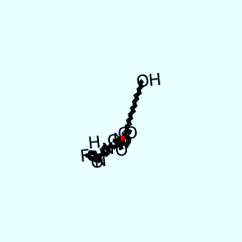 Cc1nc2n(c(=O)c1CCN1CCC(c3noc4cc(F)ccc34)CC1)CCCC2OC(=O)CCCCCCCCCCCCCCCO